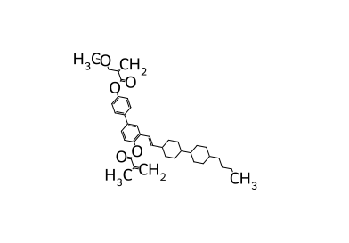 C=C(C)C(=O)Oc1ccc(-c2ccc(OC(=O)C(=C)COC)cc2)cc1/C=C/C1CCC(C2CCC(CCCC)CC2)CC1